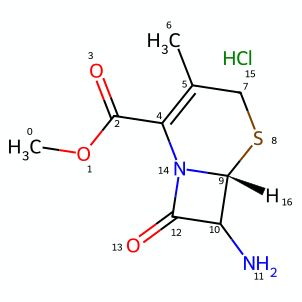 COC(=O)C1=C(C)CS[C@@H]2C(N)C(=O)N12.Cl